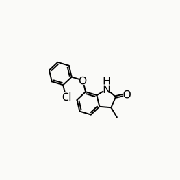 CC1C(=O)Nc2c(Oc3ccccc3Cl)cccc21